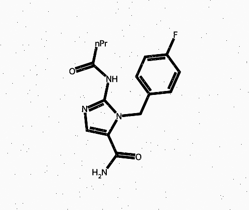 CCCC(=O)Nc1ncc(C(N)=O)n1Cc1ccc(F)cc1